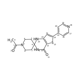 CC(=O)N1CCC2(CC1)NC(=O)c1sc(-c3ccncc3)cc1N2